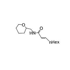 CCCCCC/C=C/C(=O)NCC1CCCCO1